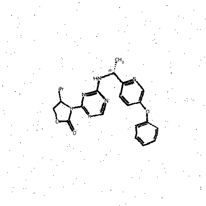 CC(C)C1COC(=O)N1c1ncnc(N[C@H](C)c2ccc(Oc3ccccc3)cn2)n1